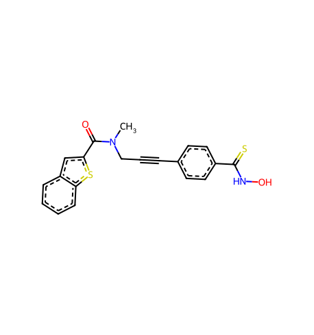 CN(CC#Cc1ccc(C(=S)NO)cc1)C(=O)c1cc2ccccc2s1